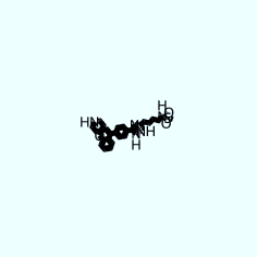 CS(=O)(=O)NCCCCN1N=C(c2ccc(C3=CC4(CCNCC4)Oc4ccccc43)cc2)NN1